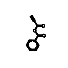 C#CC(=O)OC(=O)c1ccccc1